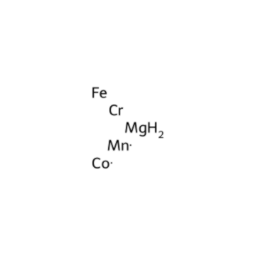 [Co].[Cr].[Fe].[MgH2].[Mn]